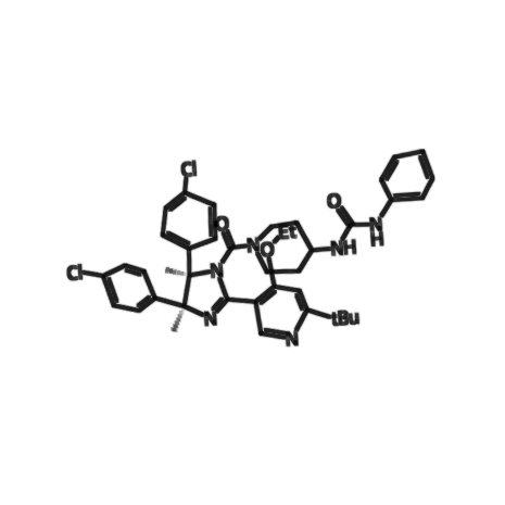 CCOc1cc(C(C)(C)C)ncc1C1=N[C@@](C)(c2ccc(Cl)cc2)[C@@](C)(c2ccc(Cl)cc2)N1C(=O)N1CCC(NC(=O)Nc2ccccc2)CC1